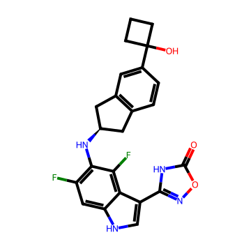 O=c1[nH]c(-c2c[nH]c3cc(F)c(N[C@@H]4Cc5ccc(C6(O)CCC6)cc5C4)c(F)c23)no1